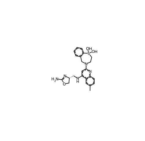 Cc1ccc2nc(N3CCS(O)(O)c4ccccc4C3)cc(NC[C@@H]3COC(N)=N3)c2c1